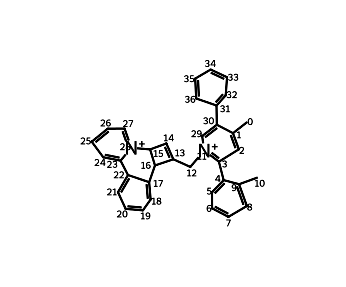 Cc1cc(-c2ccccc2C)[n+](CC2=CC3C2c2ccccc2-c2cccc[n+]23)cc1-c1ccccc1